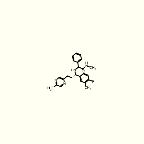 CNC(=O)C(N[C@@H](CCc1cnc(C)cn1)c1ccc(F)c(C)c1)c1ccccc1